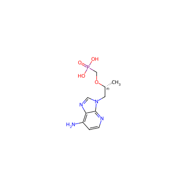 C[C@H](Cn1cnc2c(N)ccnc21)OCP(=O)(O)O